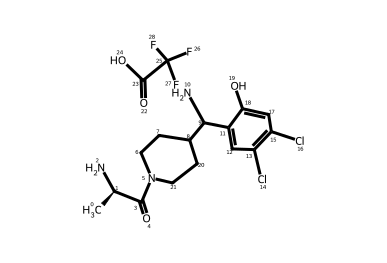 C[C@@H](N)C(=O)N1CCC(C(N)c2cc(Cl)c(Cl)cc2O)CC1.O=C(O)C(F)(F)F